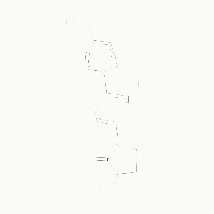 Cc1cc(N2CCC(C)C2=O)ccc1-c1ccc(C(=O)O)cc1